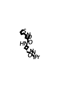 CC(C)c1nnc(C[C@H]2C[C@H](NC(=O)c3cc(-c4cccs4)no3)C2)o1